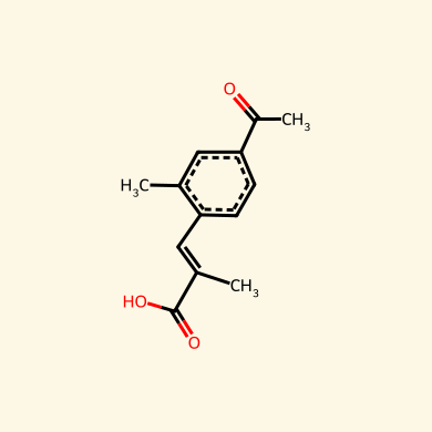 CC(=O)c1ccc(/C=C(\C)C(=O)O)c(C)c1